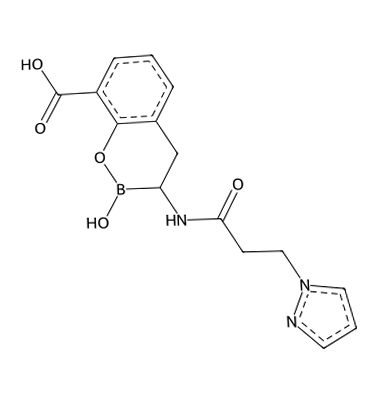 O=C(CCn1cccn1)NC1Cc2cccc(C(=O)O)c2OB1O